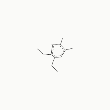 CCc1[c]c(C)c(C)cc1CC